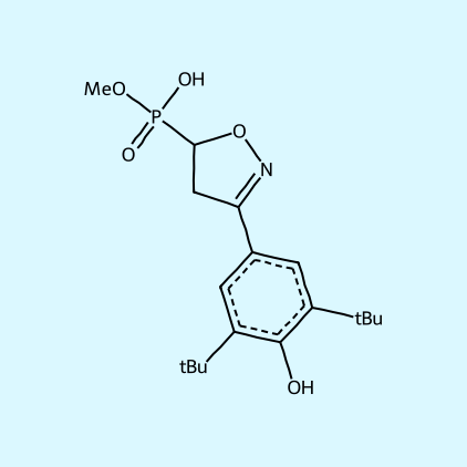 COP(=O)(O)C1CC(c2cc(C(C)(C)C)c(O)c(C(C)(C)C)c2)=NO1